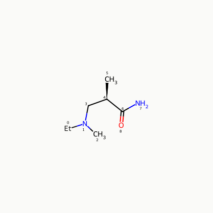 CCN(C)C[C@@H](C)C(N)=O